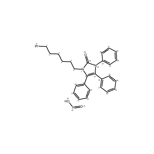 CC(C)CCCCCCn1c(-c2ccccc2)c(-c2ccccc2)n(-c2ccccc2)c1=O.O=PO